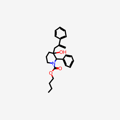 C=C(CC1(O)CCCN(C(=O)OCCCC)C1c1ccccc1)c1ccccc1